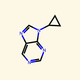 c1ncc2ncn(C3CC3)c2n1